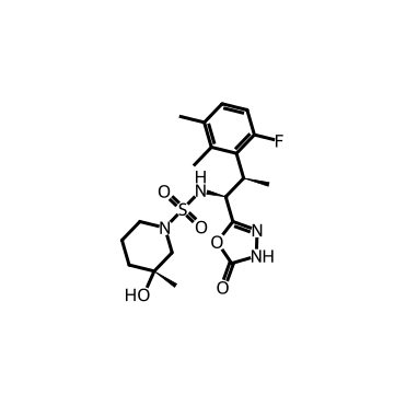 Cc1ccc(F)c([C@@H](C)[C@H](NS(=O)(=O)N2CCC[C@@](C)(O)C2)c2n[nH]c(=O)o2)c1C